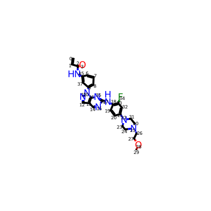 C=CC(=O)Nc1cccc(-n2ncc3cnc(Nc4ccc(N5CCN(CCOC)CC5)cc4F)nc32)c1